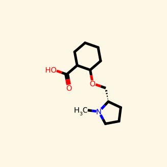 CN1CCC[C@H]1COC1CCCCC1C(=O)O